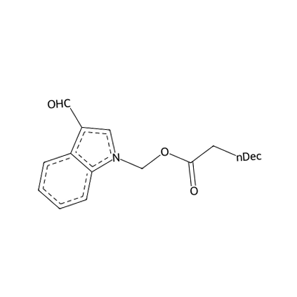 CCCCCCCCCCCC(=O)OCn1cc(C=O)c2ccccc21